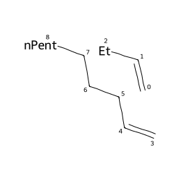 C=CCC.C=CCCCCCCCC